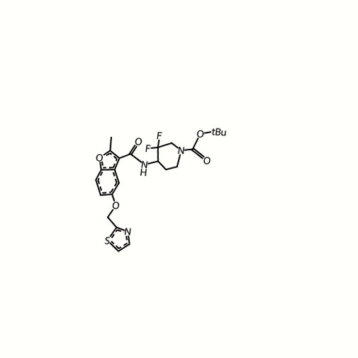 Cc1oc2ccc(OCc3nccs3)cc2c1C(=O)NC1CCN(C(=O)OC(C)(C)C)CC1(F)F